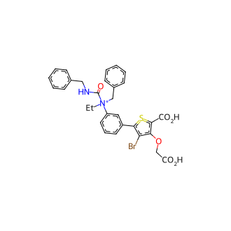 CC[N+](Cc1ccccc1)(C(=O)NCc1ccccc1)c1cccc(-c2sc(C(=O)O)c(OCC(=O)O)c2Br)c1